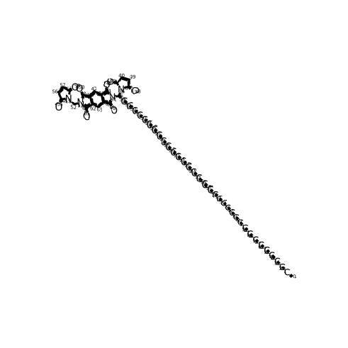 C=C=C=C=C=C=C=C=C=C=C=C=C=C=C=C=C=C=C=C=C=C=C=C=C=C=C=C=C=C=C=C=C=C=C=C(N1C(=O)C=CC1=O)n1c(=O)c2cc3c(=O)n(CN4C(=O)C=CC4=O)c(=O)c3cc2c1=O